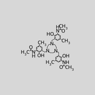 CC(=O)Nc1cc(C)cc(CN2CCN(Cc3cc(C)cc(NC(C)=O)c3O)CCN(Cc3cc(C)cc(NC(C)=O)c3O)CC2)c1O